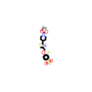 CC(C)OC(=O)N1CCC(c2nc(COc3ccc(S(C)(=O)=O)cc3F)cs2)CC1